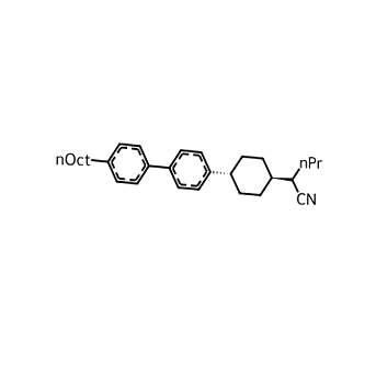 CCCCCCCCc1ccc(-c2ccc([C@H]3CC[C@H](C(C#N)CCC)CC3)cc2)cc1